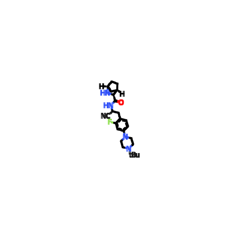 CC(C)(C)N1CCN(c2ccc(C[C@@H](C#N)NC(=O)[C@H]3N[C@@H]4CC[C@H]3C4)c(F)c2)CC1